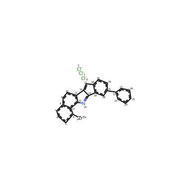 [Cl-].[Cl-].[Cl-].[Zr+3][c]1cccc2ccc3c(c12)N=C1C3=Cc2ccc(-c3ccccc3)cc21